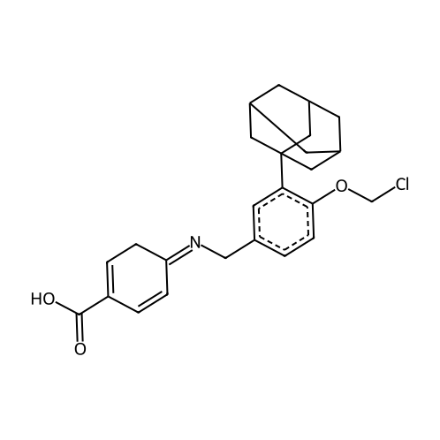 O=C(O)C1=CCC(=NCc2ccc(OCCl)c(C34CC5CC(CC(C5)C3)C4)c2)C=C1